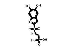 O=P(O)(O)CNS(=O)(=O)c1cc2cc(O)c(O)cc2o1